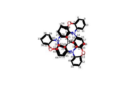 c1ccc2c(c1)Oc1ccccc1N2c1ccccc1B(c1ccccc1N1c2ccccc2Oc2ccccc21)c1ccccc1N1c2ccccc2Oc2ccccc21